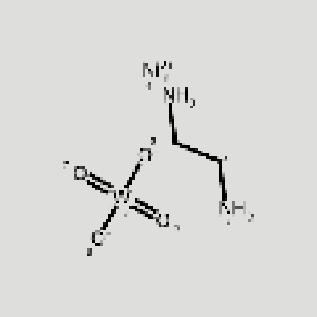 NCCN.[Ni+2].[O]=[W](=[O])([O-])[O-]